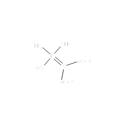 CCCCCCCCS(CCCCCCCC)=P(S)(S)S